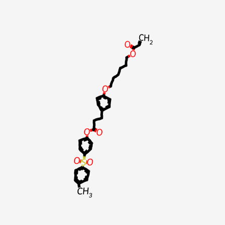 C=CC(=O)OCCCCCCOc1ccc(CCC(=O)Oc2ccc(S(=O)(=O)c3ccc(C)cc3)cc2)cc1